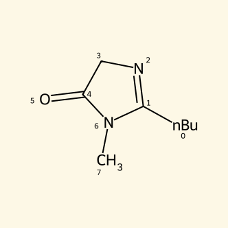 CCCCC1=NCC(=O)N1C